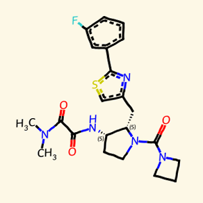 CN(C)C(=O)C(=O)N[C@H]1CCN(C(=O)N2CCC2)[C@H]1Cc1csc(-c2cccc(F)c2)n1